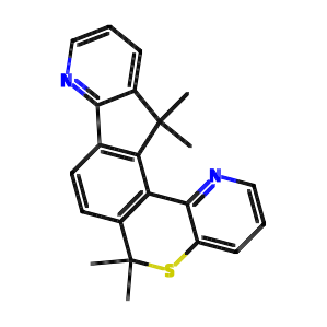 CC1(C)Sc2cccnc2-c2c1ccc1c2C(C)(C)c2cccnc2-1